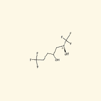 OC(CCC(F)(F)F)C[C@H](O)C(F)(F)F